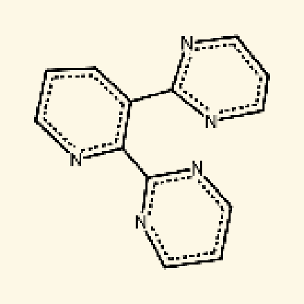 c1cnc(-c2cccnc2-c2ncccn2)nc1